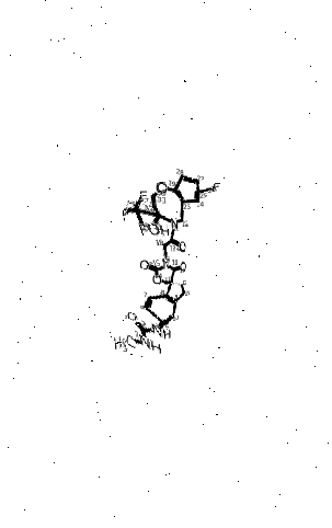 CNC(=O)Nc1ccc2c(c1)CC[C@@]21OC(=O)N(CC(=O)N2Cc3cc(F)ccc3OCC2(O)C(F)(F)F)C1=O